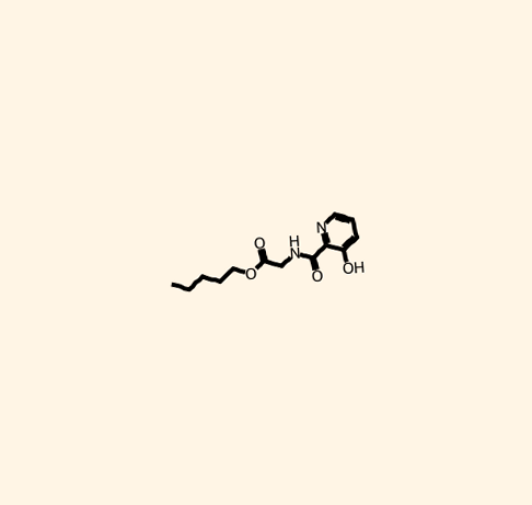 CCCCCOC(=O)CNC(=O)c1ncccc1O